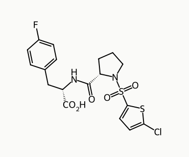 O=C(O)[C@H](Cc1ccc(F)cc1)NC(=O)[C@@H]1CCCN1S(=O)(=O)c1ccc(Cl)s1